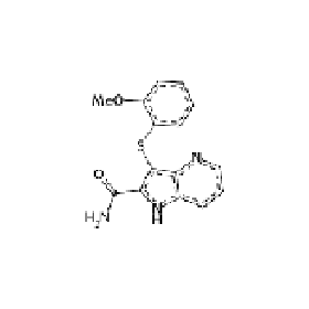 COc1ccccc1Sc1c(C(N)=O)[nH]c2cccnc12